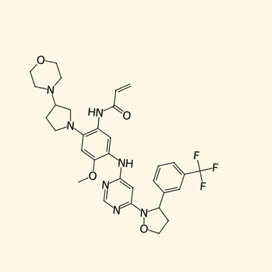 C=CC(=O)Nc1cc(Nc2cc(N3OCCC3c3cccc(C(F)(F)F)c3)ncn2)c(OC)cc1N1CCC(N2CCOCC2)C1